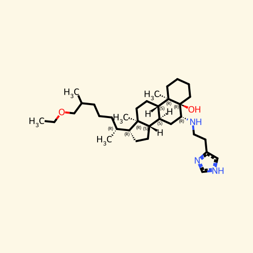 CCOCC(C)CCC[C@@H](C)[C@H]1CC[C@H]2[C@@H]3C[C@@H](NCCc4c[nH]cn4)[C@@]4(O)CCCC[C@]4(C)[C@H]3CC[C@]12C